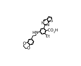 CCc1cc(NCCc2ccc3c(c2)OCCO3)cc(-c2ncc3ccsc3n2)c1C(=O)O